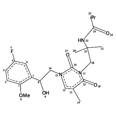 COc1ccc(F)cc1C(O)Cn1cc(C)c(=O)n(CC(C)(C)NC(=O)C(C)C)c1=O